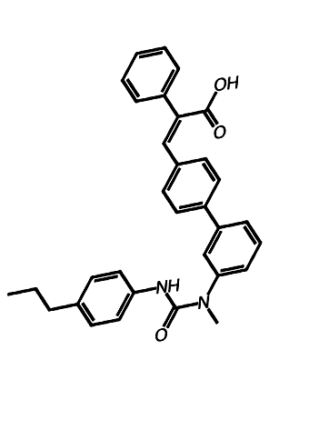 CCCc1ccc(NC(=O)N(C)c2cccc(-c3ccc(C=C(C(=O)O)c4ccccc4)cc3)c2)cc1